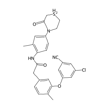 Cc1cc(N2CC[SH2]CC2=O)ccc1NC(=O)Cc1ccc(C)c(Oc2cc(Cl)cc(C#N)c2)c1